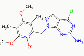 COc1c(C)c(Cn2ncc3c(Cl)nc(N)nc32)[n+]([O-])c(OC)c1C